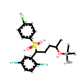 CC(CCC(c1cc(F)ccc1F)S(=O)(=O)c1ccc(Cl)cc1)O[Si](C)(C)C(C)(C)C